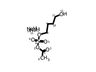 CC(=O)OS(=O)(=O)OCCCCO.[NaH].[NaH]